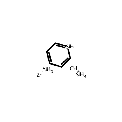 C.[AlH3].[SiH4].[Zr].c1cc[siH]cc1